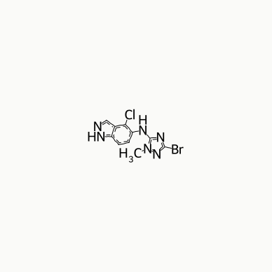 Cn1nc(Br)nc1Nc1ccc2[nH]ncc2c1Cl